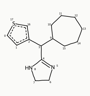 c1cc(C(C2=NCCN2)C2CCCCCC2)cs1